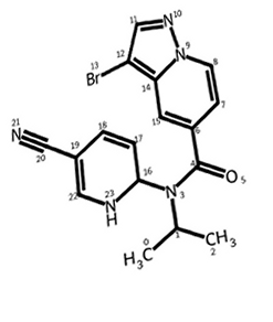 CC(C)N(C(=O)c1ccn2ncc(Br)c2c1)C1C=CC(C#N)=CN1